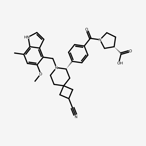 COc1cc(C)c2[nH]ccc2c1CN1CCC2(CC(C#N)C2)C[C@H]1c1ccc(C(=O)N2CC[C@H](C(=O)O)C2)cc1